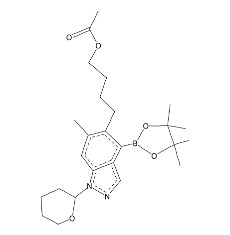 CC(=O)OCCCCc1c(C)cc2c(cnn2C2CCCCO2)c1B1OC(C)(C)C(C)(C)O1